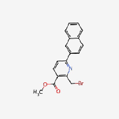 COC(=O)c1ccc(-c2ccc3ccccc3c2)nc1CBr